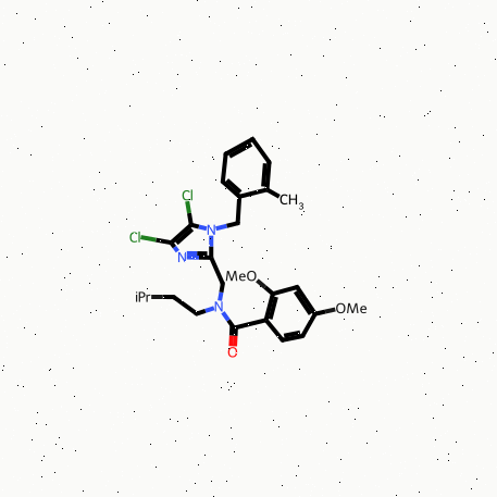 COc1ccc(C(=O)N(CCC(C)C)Cc2nc(Cl)c(Cl)n2Cc2ccccc2C)c(OC)c1